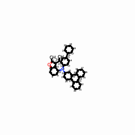 C=Cc1c(C)oc2cccc(N(c3ccc(-c4ccccc4)cc3)c3ccc4c5ccccc5c5ccccc5c4c3)c12